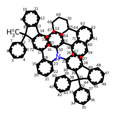 CC1(c2ccccc2)c2ccccc2-c2ccc(-c3ccccc3N(c3ccc4c(c3)C(c3ccccc3)(c3ccccc3)c3ccccc3-4)c3ccccc3-c3cccc4cccc(C5CCCCC5)c34)cc21